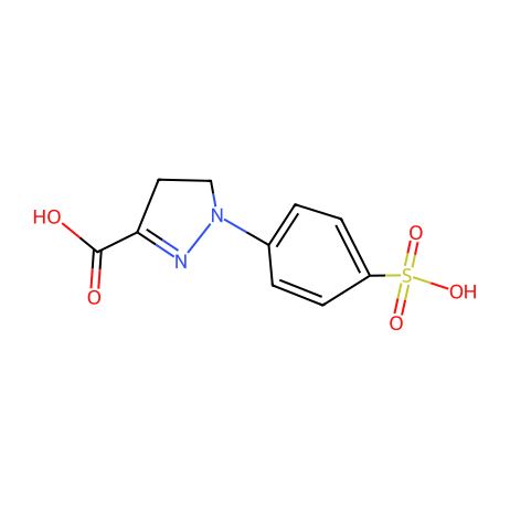 O=C(O)C1=NN(c2ccc(S(=O)(=O)O)cc2)CC1